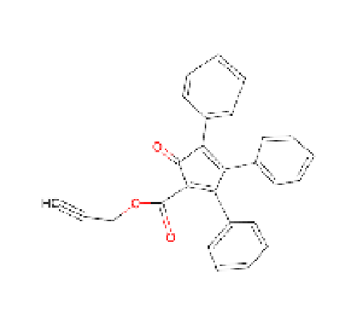 C#CCOC(=O)C1=C(c2ccccc2)C(c2ccccc2)=C(c2ccccc2)C1=O